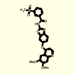 COc1cc2nccc(Oc3ccc4nc(NC(=O)c5cccc(S(C)(=O)=O)c5)sc4c3)c2cc1OC